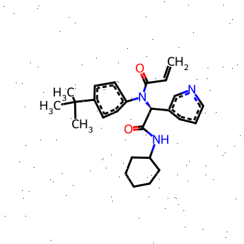 C=CC(=O)N(c1ccc(C(C)(C)C)cc1)[C@H](C(=O)NC1CCCCC1)c1cccnc1